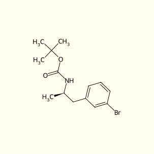 C[C@H](Cc1cccc(Br)c1)NC(=O)OC(C)(C)C